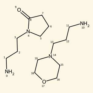 NCCCN1CCCC1=O.NCCCN1CCOCC1